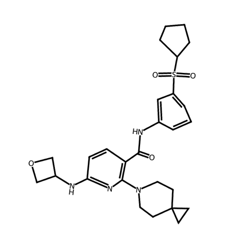 O=C(Nc1cccc(S(=O)(=O)C2CCCC2)c1)c1ccc(NC2COC2)nc1N1CCC2(CC1)CC2